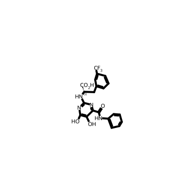 O=C(Nc1ccccc1)c1nc(N[C@@H](Cc2cccc(C(F)(F)F)c2)C(=O)O)nc(O)c1O